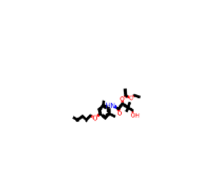 CCCCCOc1cc(C)c(NC(=O)C(OC(C)OCC)C(C)(C)CO)c(C)c1